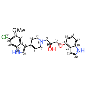 COc1cc2c(C3=CCN(C[C@H](O)COc4cccc5[nH]ccc45)CC3)c[nH]c2cc1Cl